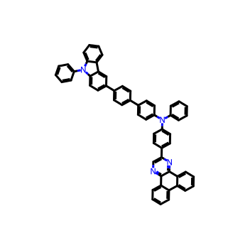 c1ccc(N(c2ccc(-c3ccc(-c4ccc5c(c4)c4ccccc4n5-c4ccccc4)cc3)cc2)c2ccc(-c3cnc4c5ccccc5c5ccccc5c4n3)cc2)cc1